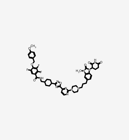 COc1ccc(COc2c(F)cc(C(=O)NCC3CCC(c4noc(-c5ccnc(N6CCN(CCCc7ccc8c(c7)n(C)c(=O)n8C7CCC(=O)NC7=O)CC6)n5)n4)CC3)c(F)c2F)cc1